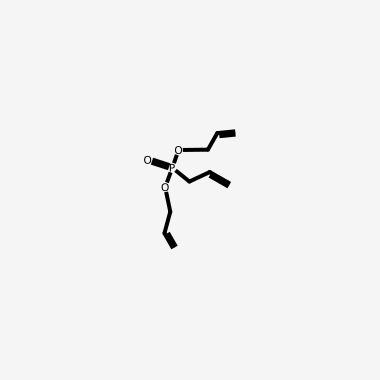 C=CCOP(=O)(CC=C)OCC=C